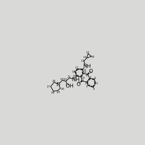 O=C1c2ccccc2C(=O)c2c(NCC3CC3)ccc(NCC(O)CN3CCCCC3)c21